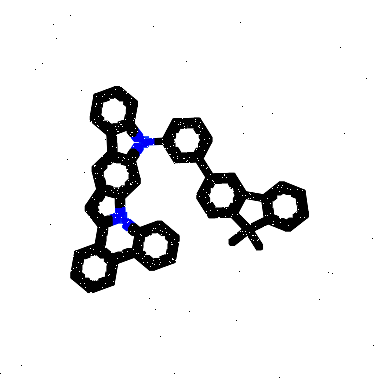 CC1(C)c2ccccc2-c2cc(-c3cccc(-n4c5ccccc5c5cc6cc7c8ccccc8c8ccccc8n7c6cc54)c3)ccc21